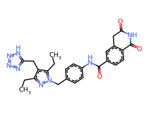 CCc1nn(Cc2ccc(NC(=O)c3ccc4c(c3)CC(=O)NC4=O)cc2)c(CC)c1Cc1nnn[nH]1